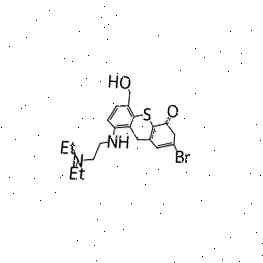 CCN(CC)CCNc1ccc(CO)c2c1CC1=C(S2)C(=O)CC(Br)=C1